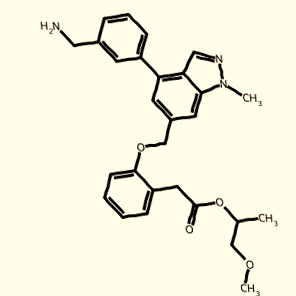 COCC(C)OC(=O)Cc1ccccc1OCc1cc(-c2cccc(CN)c2)c2cnn(C)c2c1